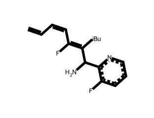 C=C/C=C\C(F)=C(/C(C)CC)C(N)c1ncccc1F